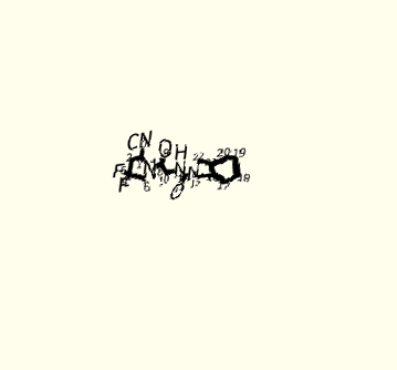 N#CC1CC(F)(F)CN1C(=O)CNC(=O)N1Cc2ccccc2C1